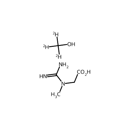 CN(CC(=O)O)C(=N)N.[2H]C([2H])([2H])O